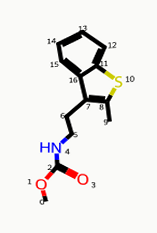 COC(=O)NCCc1c(C)sc2ccccc12